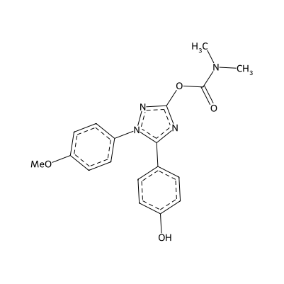 COc1ccc(-n2nc(OC(=O)N(C)C)nc2-c2ccc(O)cc2)cc1